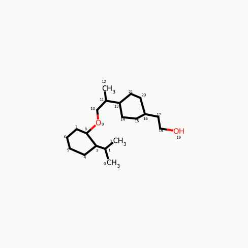 CC(C)C1CCCCC1OCC(C)C1CCC(CCO)CC1